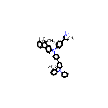 C=C/C(=C\N)c1ccc(N(c2ccc(C3=CC4(C)c5ccccc5N(C5=CC=CCC5)C4C=C3)cc2)c2ccc3c(c2)C(C)(C)c2ccccc2-3)cc1